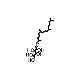 C/C(=C\OC[C@@H](O)[C@H](O)[C@@H](O)[C@@H](O)CO)CCCC(C)CCCC(C)CCCC(C)C